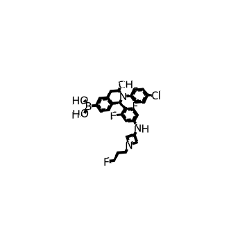 CC1Cc2cc(B(O)O)ccc2C(c2c(F)cc(NC3CN(CCCF)C3)cc2F)N1c1ccc(Cl)cc1